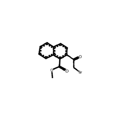 COC(=O)c1c(C(=O)CBr)ccc2ccccc12